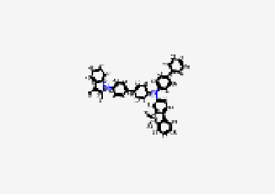 Cc1c(C)n(-c2ccc(-c3ccc(N(c4ccc(-c5ccccc5)cc4)c4ccc5c(c4)[Si](C)(C)c4ccccc4-5)cc3)cc2)c2ccccc12